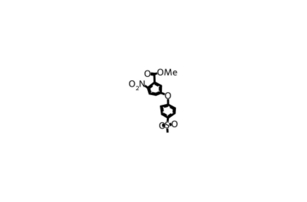 COC(=O)c1cc(Oc2ccc(S(C)(=O)=O)cc2)ccc1[N+](=O)[O-]